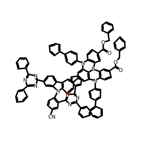 N#Cc1ccc(-n2c3ccc(-c4cc5c6c(c4)N(c4ccc(-c7ccccc7)cc4)c4ccc(C(=O)OCc7ccccc7)cc4B6c4cc(C(=O)OCc6ccccc6)ccc4N5c4ccc(-c5ccccc5)cc4)cc3c3ccc(-c4nc(-c5ccccc5)nc(-c5ccccc5)n4)cc32)c(-c2nc(-c3ccccc3)nc(-c3ccccc3)n2)c1